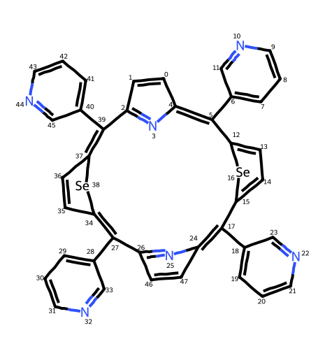 C1=Cc2nc1c(-c1cccnc1)c1ccc([se]1)c(-c1cccnc1)c1nc(c(-c3cccnc3)c3ccc([se]3)c2-c2cccnc2)C=C1